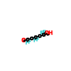 CCC(O)c1ccc(C2CCC(c3ccc(C4CCC(c5ccc(C6CO6)c(F)c5F)CC4)c(F)c3F)CC2)c(F)c1F